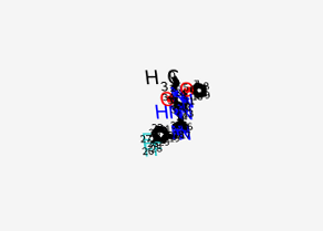 CCCn1c(OC2CCCC2)nc2nc(-c3cnn(Cc4cccc(C(F)(F)F)c4)c3)[nH]c2c1=O